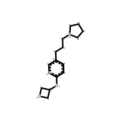 c1cc(OC2COC2)ncc1CCCN1CCCC1